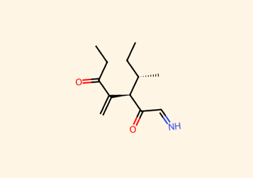 C=C(C(=O)CC)[C@H](C(=O)C=N)[C@@H](C)CC